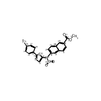 COC(=O)c1ccc2cc(N(c3cnc(-c4ccc(F)cc4)s3)[SH](=O)=O)ccc2c1